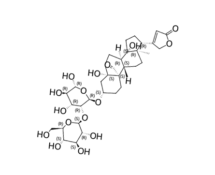 C[C@]12CC[C@H]3[C@@H](CC[C@]4(O)C[C@@H](O[C@@H]5O[C@@H](O)[C@H](O)[C@@H](O)[C@H]5O[C@@H]5O[C@H](CO)[C@@H](O)[C@H](O)[C@H]5O)CC[C@]34C=O)[C@@]1(O)CC[C@@H]2C1=CC(=O)OC1